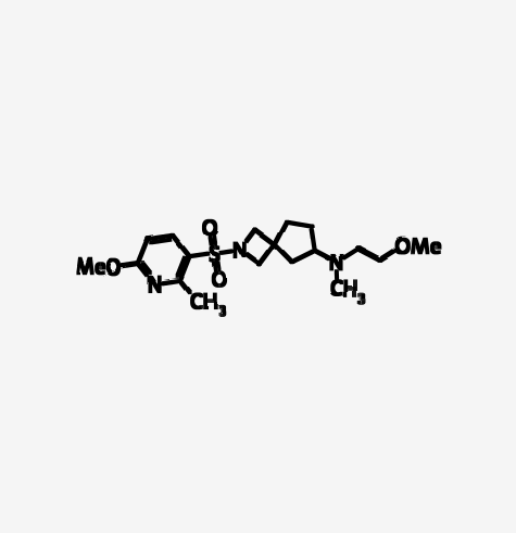 COCCN(C)C1CCC2(C1)CN(S(=O)(=O)c1ccc(OC)nc1C)C2